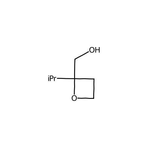 CC(C)C1(CO)CCO1